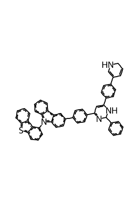 C1=CC(c2ccc(C3=CC(c4ccc(-c5ccc6c(c5)c5ccccc5n6-c5cccc6sc7ccccc7c56)cc4)=NC(c4ccccc4)N3)cc2)=CNC1